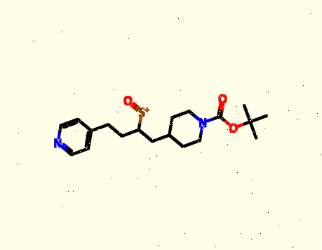 CC(C)(C)OC(=O)N1CCC(CC(CCc2ccncc2)[S+]=O)CC1